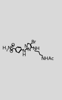 CC(=O)NCCCCNc1nc(Nc2ccc(S(N)(=O)=O)cc2)ncc1Br